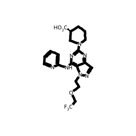 O=C(O)[C@H]1CCCN(c2nc(Nc3ccccn3)c3c(cnn3CCOCC(F)(F)F)n2)C1